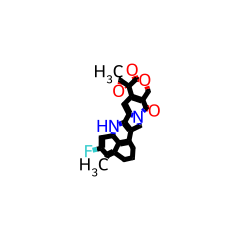 CC1=C2CCCC3=C2C(C=C1F)NC1=C3Cn2c1cc1c(c2=O)COC(=O)[C@@]12O[C@@H]2C